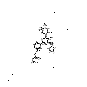 CNCC(O)COc1cccc(-c2nc(N[C@@H]3CCOC3)c(C)c(N3CCN(C(C)=O)C(C)(C)C3)n2)c1